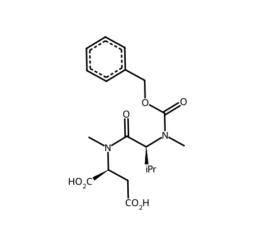 CC(C)[C@@H](C(=O)N(C)[C@@H](CC(=O)O)C(=O)O)N(C)C(=O)OCc1ccccc1